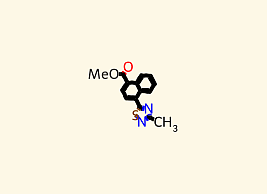 COC(=O)c1ccc(-c2nc(C)ns2)c2ccccc12